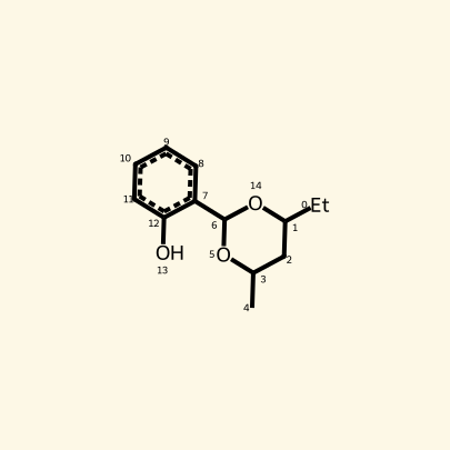 CCC1CC(C)OC(c2ccccc2O)O1